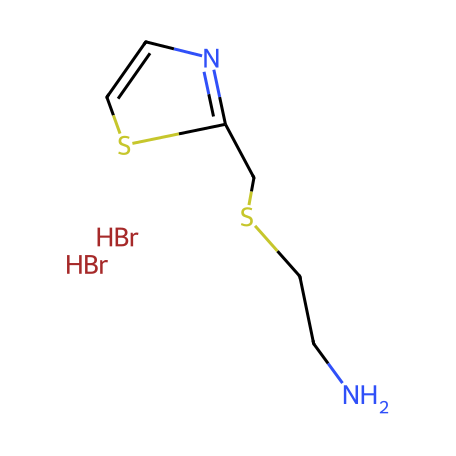 Br.Br.NCCSCc1nccs1